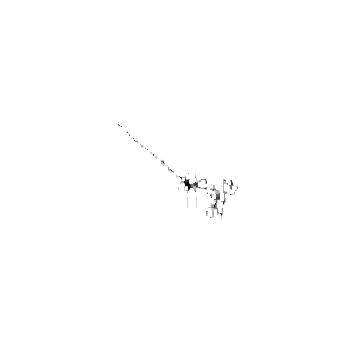 C#CC#CC#CC#CC#CC#CC#CC#CS(=O)(=O)Nc1cccc(-c2cc(-c3ccccn3)nc(-c3ccccn3)c2)c1